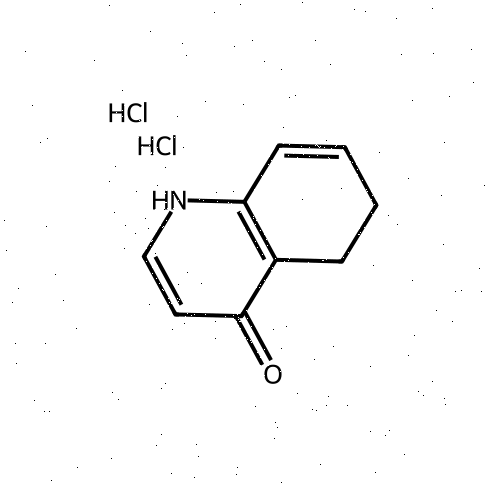 Cl.Cl.O=c1cc[nH]c2c1CCC=C2